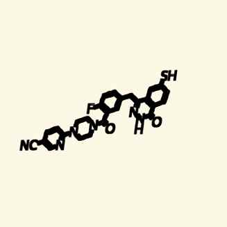 N#Cc1ccc(N2CCN(C(=O)c3cc(Cc4n[nH]c(=O)c5ccc(S)cc45)ccc3F)CC2)nc1